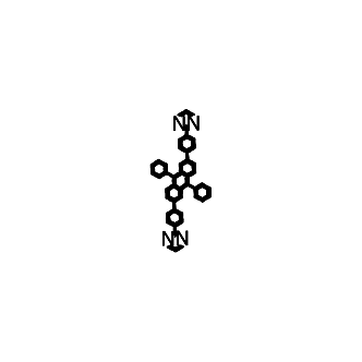 c1ccc(-c2c3ccc(-c4ccc(-c5ncccn5)cc4)cc3c(-c3ccccc3)c3ccc(-c4ccc(-c5ncccn5)cc4)cc23)cc1